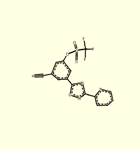 N#Cc1cc(OS(=O)(=O)C(F)(F)F)cc(-c2nc(-c3ccccn3)no2)c1